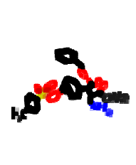 COC(=O)C(CN)C(C(=O)OCc1ccccc1)c1ccc(OS(=O)(=O)c2ccc(C)cc2)cc1